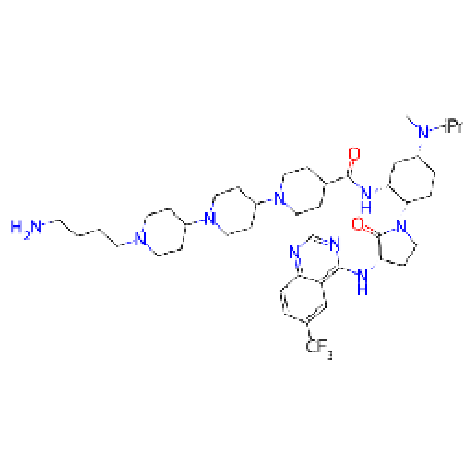 CC(C)N(C)[C@@H]1CC[C@H](N2CC[C@H](Nc3ncnc4ccc(C(F)(F)F)cc34)C2=O)[C@H](NC(=O)C2CCN(C3CCN(C4CCN(CCCCN)CC4)CC3)CC2)C1